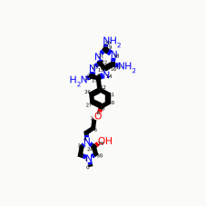 CN1CCN(CCCOc2ccc(-c3nc4c(N)nc(N)nc4nc3N)cc2)C(O)C1